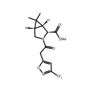 COC(=O)[C@@H]1[C@@H]2[C@H](CN1C(=O)Cc1cc(C(F)(F)F)no1)C2(C)C